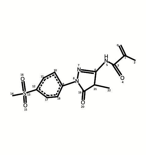 C=C(C)C(=O)NC1=NN(c2ccc(S(C)(=O)=O)cc2)C(=O)C1C